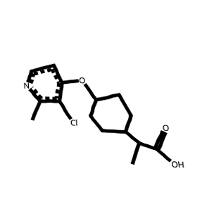 Cc1nccc(OC2CCC(C(C)C(=O)O)CC2)c1Cl